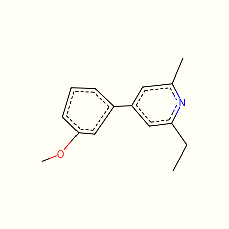 CCc1cc(-c2cccc(OC)c2)cc(C)n1